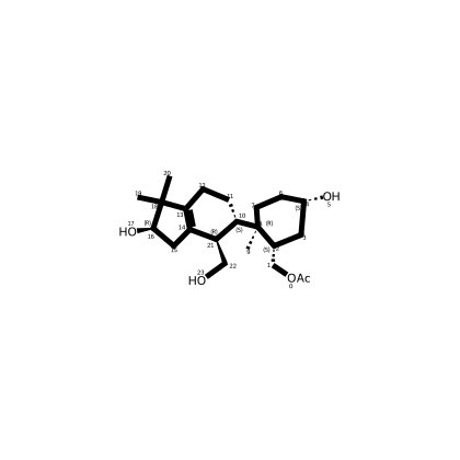 CC(=O)OC[C@H]1C[C@@H](O)CC[C@]1(C)[C@H]1CCC2=C(C[C@@H](O)C2(C)C)[C@@H]1CO